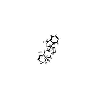 C1=C[C@H]2C[C@@H]3N(CC[C@]34CNc3ccccc34)C[C@@H]2CO1